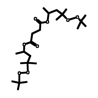 CC(CC(C)(C)OOC(C)(C)C)OC(=O)CCC(=O)OC(C)CC(C)(C)OOC(C)(C)C